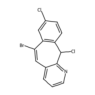 Clc1ccc2c(c1)C(Br)=Cc1cccnc1C2Cl